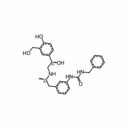 C[C@H](Cc1cccc(NC(=O)NCc2ccccc2)c1)NC[C@H](O)c1ccc(O)c(CO)c1